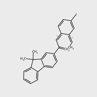 C=C(/C=c1/ccc(I)c/c1=C/C)c1ccc2c(c1)C(C)(C)c1ccccc1-2